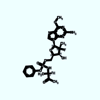 [2H][C@@](C)(NP(=O)(OC[C@H]1O[C@@H](n2cnc3c(OC)nc(N)nc32)[C@](C)(F)[C@@H]1O)Oc1ccccc1)C(C)=O